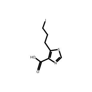 O=C(O)c1ncsc1CCCI